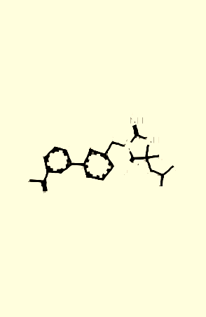 CC(=O)c1cccc(-c2cccc(CN3C(=N)NC(C)(CC(C)C)C3=O)c2)c1